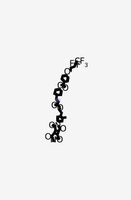 Cc1cc(N2C(=O)C3C4C(=O)N(C)C(=O)C4C3C2=O)ccc1CCOC(=O)/C=C/c1ccc(OC(=O)c2ccc(OCCCC(F)(F)C(F)(F)F)cc2)cc1